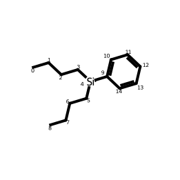 CCCC[Si](CCCC)c1ccccc1